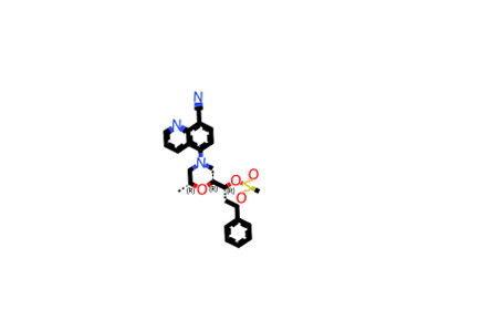 C[C@@H]1CN(c2ccc(C#N)c3ncccc23)C[C@H]([C@@H](CCc2ccccc2)OS(C)(=O)=O)O1